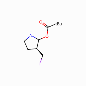 CC(C)(C)C(=O)OC1NCC[C@@H]1CI